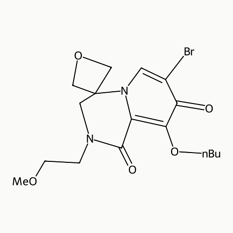 CCCCOc1c2n(cc(Br)c1=O)C1(COC1)CN(CCOC)C2=O